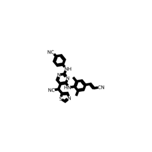 Cc1cc(/C=C/C#N)cc(C)c1Nc1nc(Nc2ccc(C#N)cc2)ncc1C(C#N)c1cncs1